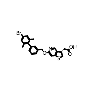 Cc1cc(Br)cc(C)c1-c1cccc(COc2cc3c(cn2)[C@H](CC(=O)O)CS3)c1